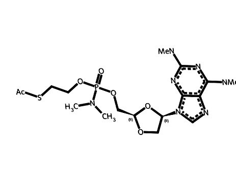 CNc1nc(NC)c2ncn([C@H]3CO[C@@H](COP(=O)(OCCSC(C)=O)N(C)C)O3)c2n1